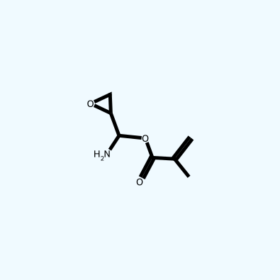 C=C(C)C(=O)OC(N)C1CO1